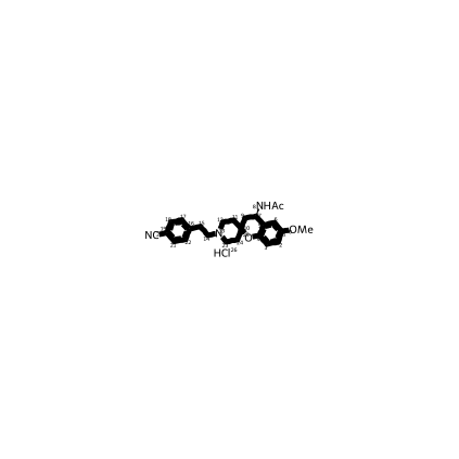 COc1ccc2c(c1)[C@@H](NC(C)=O)CC1(CCN(CCc3ccc(C#N)cc3)CC1)O2.Cl